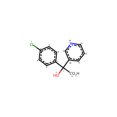 O=C(O)C(O)(c1ccc(Cl)cc1)c1cccnc1